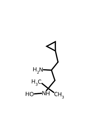 CC(C)(CC(N)CC1CC1)NO